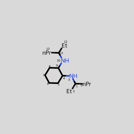 CCCC(CC)NC1CCCCC1NC(CC)CCC